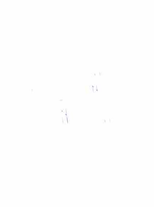 COc1cccc(C23CCN(C(=O)C4CC4)CC2Cc2c([nH]c4ccc(Cl)cc24)C3)c1